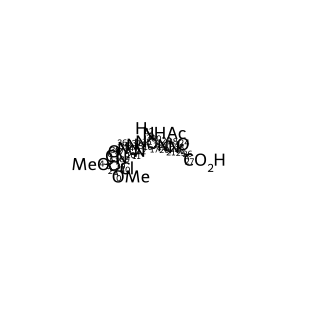 COc1cc(OC)c(Cl)c(N2Cc3cnc(Nc4ccc(N5CCN(C(=O)CCC(=O)O)CC5)cc4NC(C)=O)nc3N(C)C2=O)c1Cl